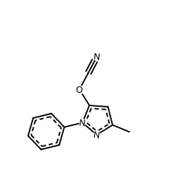 Cc1cc(OC#N)n(-c2ccccc2)n1